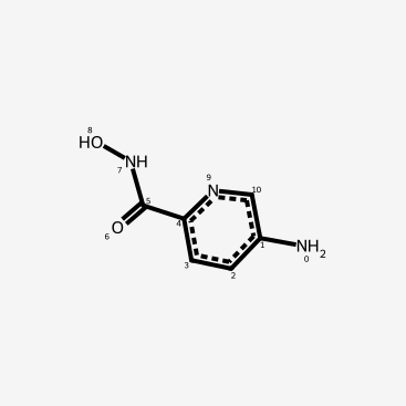 Nc1ccc(C(=O)NO)nc1